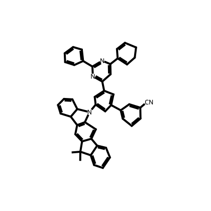 CC1(C)c2ccccc2-c2cc3c(cc21)C1C=CC=CC1N3c1cc(-c2cccc(C#N)c2)cc(-c2cc(C3=CCCC=C3)nc(-c3ccccc3)n2)c1